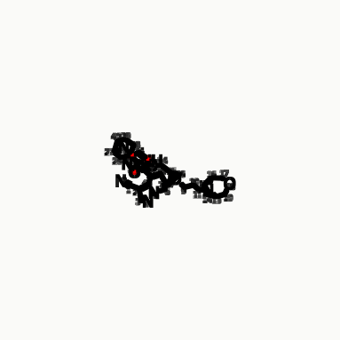 N#Cc1cnn2cc(OCCCN3C4CCC3COC4)cc(-c3ccc(N4C5CC(C(=O)NOCC6CC6)CC4C5)nc3)c12